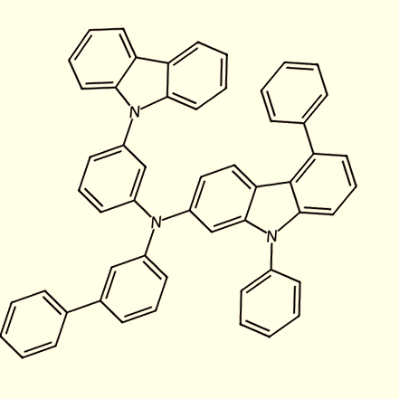 c1ccc(-c2cccc(N(c3cccc(-n4c5ccccc5c5ccccc54)c3)c3ccc4c5c(-c6ccccc6)cccc5n(-c5ccccc5)c4c3)c2)cc1